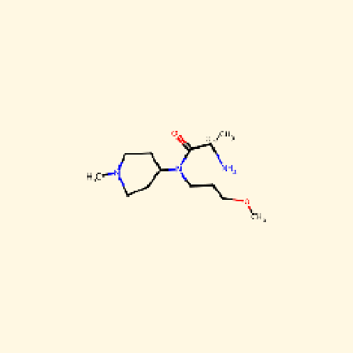 COCCCN(C(=O)[C@H](C)N)C1CCN(C)CC1